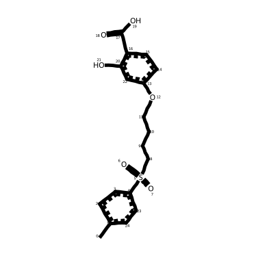 Cc1ccc(S(=O)(=O)CCCCOc2ccc(C(=O)O)c(O)c2)cc1